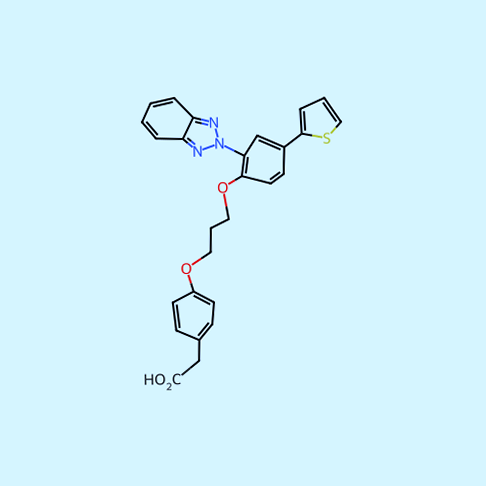 O=C(O)Cc1ccc(OCCCOc2ccc(-c3cccs3)cc2-n2nc3ccccc3n2)cc1